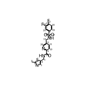 Cc1ncc(CNC(=O)c2ccc(CNS(=O)(=O)c3ccc(F)c(F)c3)cn2)s1